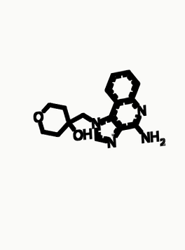 Nc1nc2ccccc2c2c1ncn2CC1(O)CCOCC1